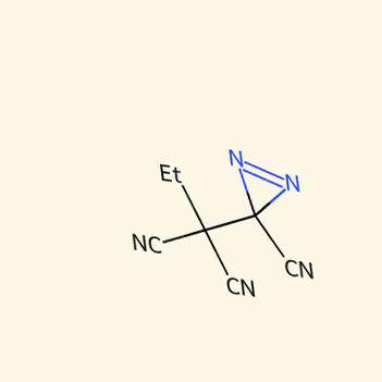 CCC(C#N)(C#N)C1(C#N)N=N1